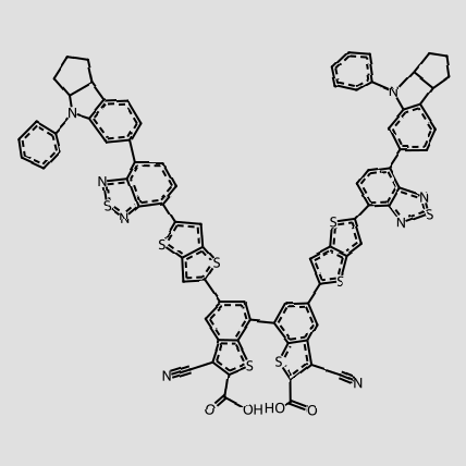 N#Cc1c(C(=O)O)sc2c(-c3cc(-c4cc5sc(-c6ccc(-c7ccc8c(c7)N(c7ccccc7)C7CCCC87)c7nsnc67)cc5s4)cc4c(C#N)c(C(=O)O)sc34)cc(-c3cc4sc(-c5ccc(-c6ccc7c(c6)N(c6ccccc6)C6CCCC76)c6nsnc56)cc4s3)cc12